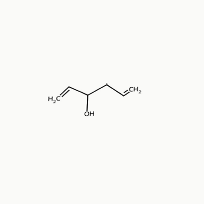 C=C[CH]C(O)C=C